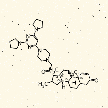 CC1C[C@H]2[C@@H]3CCC4CC(=O)C=C[C@]4(C)C3=CC[C@]2(C)[C@H]1C(=O)CN1CCN(c2cc(N3CCCC3)nc(N3CCCC3)n2)CC1